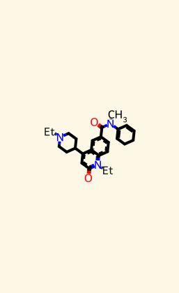 CCN1CCC(c2cc(=O)n(CC)c3ccc(C(=O)N(C)C4=CCCC=C4)cc23)CC1